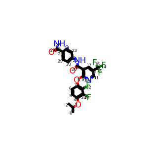 CC(C)Oc1ccc(Oc2ncc(C(F)(F)F)cc2C(=O)Nc2ccc(C(N)=O)cc2)c(F)c1F